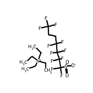 CC[N+](CC)(CC)CC.O=S(=O)([O-])C(F)(F)C(F)(F)C(F)(F)C(F)(F)CCC(F)(F)F